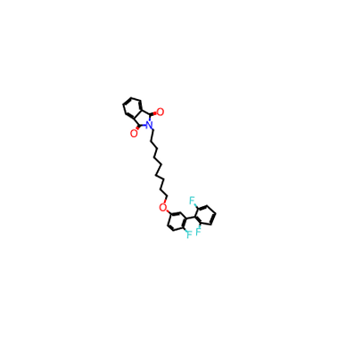 O=C1c2ccccc2C(=O)N1CCCCCCCCCOc1ccc(F)c(-c2c(F)cccc2F)c1